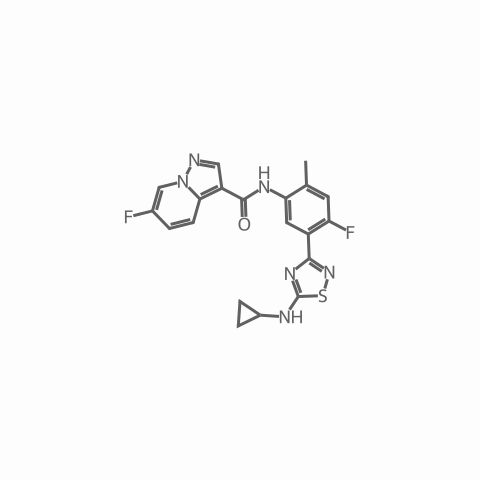 Cc1cc(F)c(-c2nsc(NC3CC3)n2)cc1NC(=O)c1cnn2cc(F)ccc12